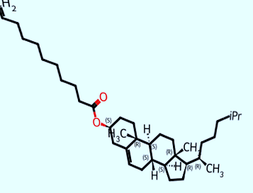 C=CCCCCCCCCC(=O)O[C@H]1CC[C@@]2(C)C(=CC[C@H]3[C@@H]4CC[C@H]([C@H](C)CCCC(C)C)[C@@]4(C)CC[C@@H]32)C1